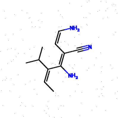 C\C=C(/C(N)=C(C#N)\C=C/N)C(C)C